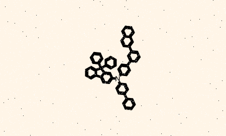 c1ccc(-c2ccc(N(c3ccc(-c4cccc(-c5ccc6ccccc6c5)c4)cc3)c3ccc4c(c3)C(c3ccccc3)(c3ccccc3)c3ccccc3-4)cc2)cc1